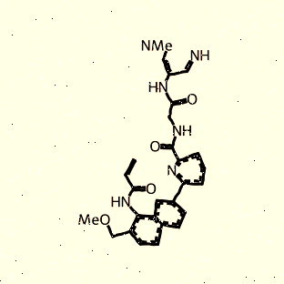 C=CC(=O)Nc1c(COC)ccc2ccc(-c3cccc(C(=O)NCC(=O)N/C(C=N)=C/NC)n3)cc12